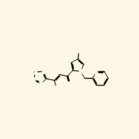 CCOC(=O)c1cc(C(=O)C=C(O)c2nn[nH]n2)n(Cc2ccccn2)c1